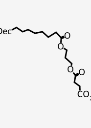 CCCCCCCCCCCCCCCCCC(=O)OCCCOC(=O)CCC(=O)O